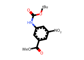 COC(=O)c1cc(NC(=O)OC(C)(C)C)cc([N+](=O)[O-])c1